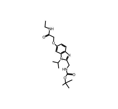 CCNC(=O)COc1ccc2nc(CNC(=O)OC(C)(C)C)n(C(C)C)c2c1